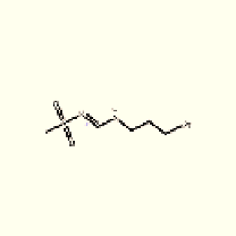 CC(C)CCCN/C=N/S(C)(=O)=O